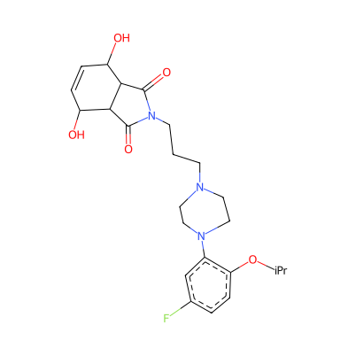 CC(C)Oc1ccc(F)cc1N1CCN(CCCN2C(=O)C3C(O)C=CC(O)C3C2=O)CC1